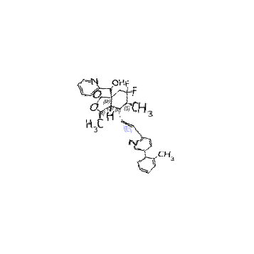 Cc1ccccc1-c1ccc(/C=C/[C@@H]2[C@@H]3[C@@H](C)OC(=O)[C@]3(C(O)c3ccccn3)CC(F)(F)[C@H]2C)nc1